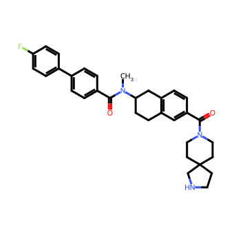 CN(C(=O)c1ccc(-c2ccc(F)cc2)cc1)C1CCc2cc(C(=O)N3CCC4(CCNC4)CC3)ccc2C1